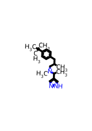 CC(Cc1ccc(C(C)(C)C)cc1)CN(C)C(C)c1cn[nH]c1